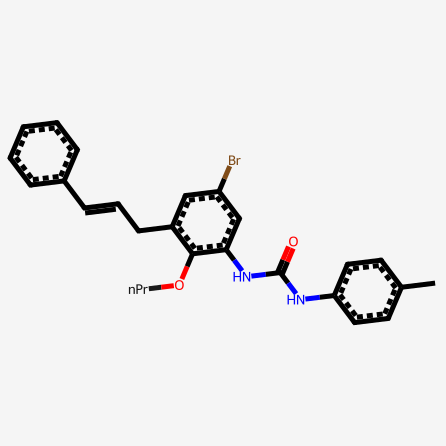 CCCOc1c(CC=Cc2ccccc2)cc(Br)cc1NC(=O)Nc1ccc(C)cc1